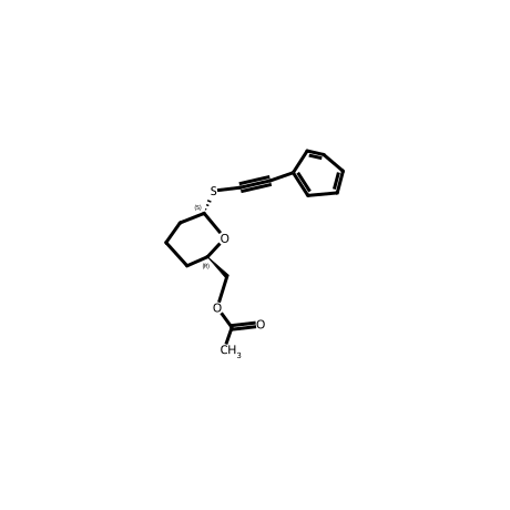 CC(=O)OC[C@H]1CCC[C@H](SC#Cc2ccccc2)O1